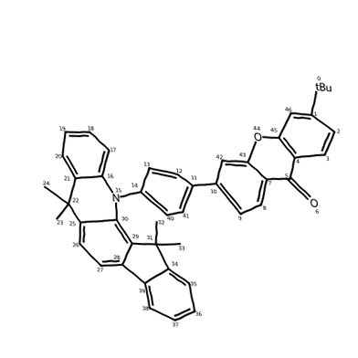 CC(C)(C)c1ccc2c(=O)c3ccc(-c4ccc(N5c6ccccc6C(C)(C)c6ccc7c(c65)C(C)(C)c5ccccc5-7)cc4)cc3oc2c1